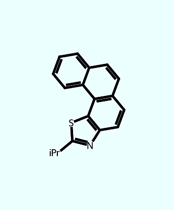 CC(C)c1nc2ccc3ccc4ccccc4c3c2s1